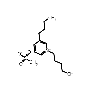 CCCCC[n+]1cccc(CCCC)c1.CS(=O)(=O)[O-]